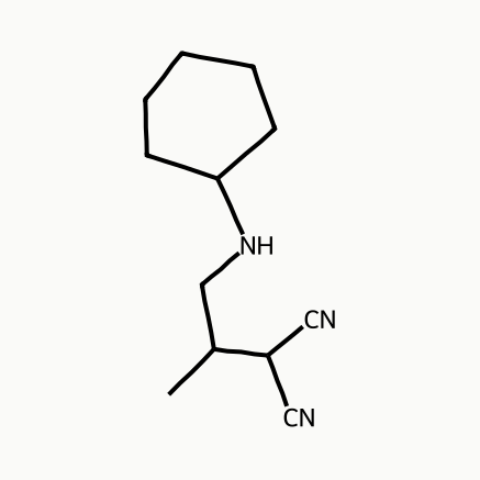 CC(CNC1CCCCC1)C(C#N)C#N